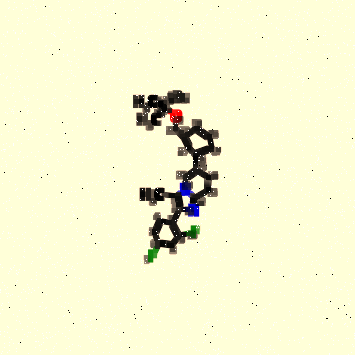 Cc1c(-c2ccc(F)cc2F)nc2ccc(-c3cccc(CO[Si](C)(C)C(C)(C)C)c3)cn12